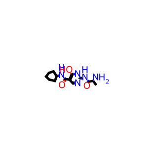 CC(N)C(=O)Nc1ncc(C(=O)NC2CCCCC2)c(O)n1